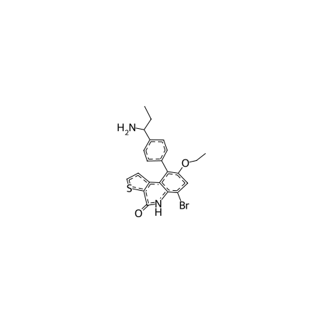 CCOc1cc(Br)c2[nH]c(=O)c3sccc3c2c1-c1ccc(C(N)CC)cc1